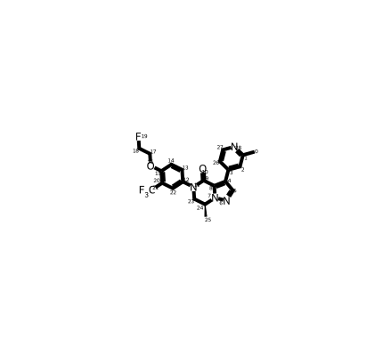 Cc1cc(-c2cnn3c2C(=O)N(c2ccc(OCCF)c(C(F)(F)F)c2)C[C@@H]3C)ccn1